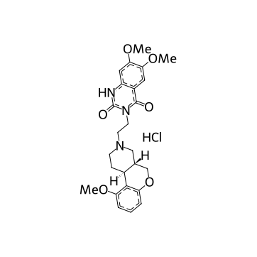 COc1cc2[nH]c(=O)n(CCN3CC[C@@H]4c5c(OC)cccc5OC[C@H]4C3)c(=O)c2cc1OC.Cl